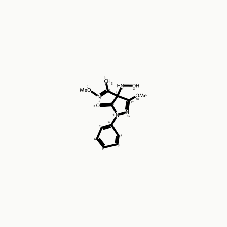 CON=C(C)C1(NO)C(=O)N(c2ccccc2)N=C1OC